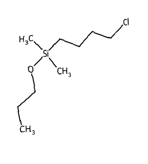 CCCO[Si](C)(C)CCCCCl